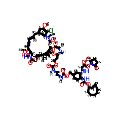 COc1cc2cc(c1Cl)N(C)C(=O)C[C@H](OC(=O)[C@H](C)N(C)C(=O)CCOC(=O)N(C)CCN(C)C(=O)OCc1ccc(NC(=O)OC3/C=C/CCCCC3)c(NCC(=O)ON3C(=O)CCC3=O)c1)C1(C)C[C@H]1[C@H](C)[C@@H]1C[C@@](O)(NC(=O)O1)[C@H](OC)/C=C/C=C(\C)C2